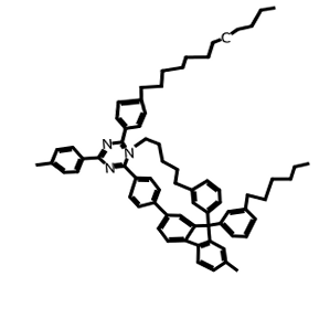 CCCCCCCCCCCCc1ccc(-c2nc(-c3ccc(C)cc3)nc(-c3ccc(-c4ccc5c(c4)C(c4cccc(CCCCCC)c4)(c4cccc(CCCCCC)c4)c4cc(C)ccc4-5)cc3)n2)cc1